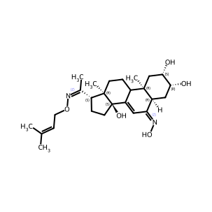 CC(C)=CCO/N=C(/C)[C@H]1CC[C@@]2(O)C3=C/C(=N\O)[C@@H]4C[C@@H](O)[C@@H](O)C[C@]4(C)C3CC[C@]12C